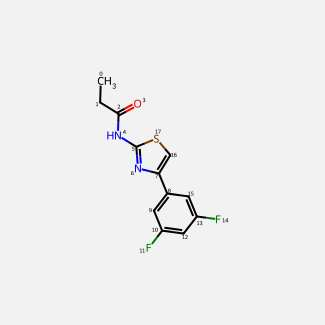 CCC(=O)Nc1nc(-c2cc(F)cc(F)c2)cs1